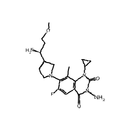 COCC[C@H](N)C1CCN(c2c(F)cc3c(=O)n(N)c(=O)n(C4CC4)c3c2C)C1